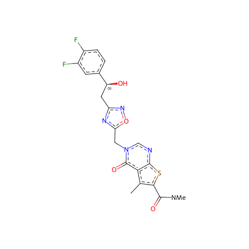 CNC(=O)c1sc2ncn(Cc3nc(C[C@H](O)c4ccc(F)c(F)c4)no3)c(=O)c2c1C